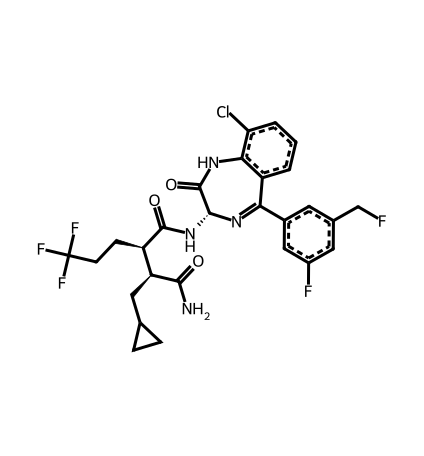 NC(=O)[C@@H](CC1CC1)[C@@H](CCC(F)(F)F)C(=O)N[C@H]1N=C(c2cc(F)cc(CF)c2)c2cccc(Cl)c2NC1=O